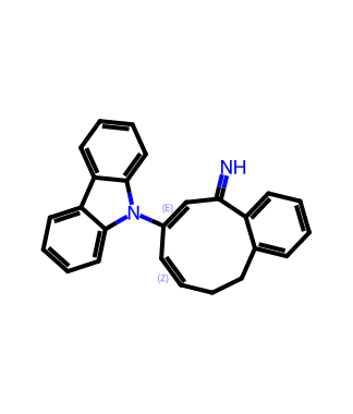 N=C1/C=C(n2c3ccccc3c3ccccc32)\C=C/CCc2ccccc21